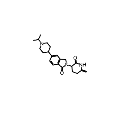 C=C1CCC(N2Cc3cc(C4CCN(C(C)C)CC4)ccc3C2=O)C(=O)N1